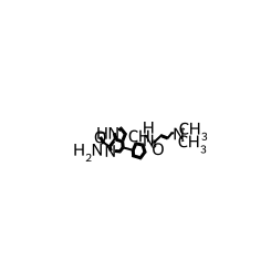 Cc1c(NC(=O)C=CCN(C)C)cccc1-c1cnc(C(N)=O)c2[nH]ccc12